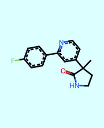 CC1(c2ccnc(-c3ccc(F)cc3)c2)CCNC1=O